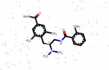 CNC(=O)c1cc(C)c(C[C@@H](CNC(=O)c2ccccc2OC)N(C)C)c(C)c1